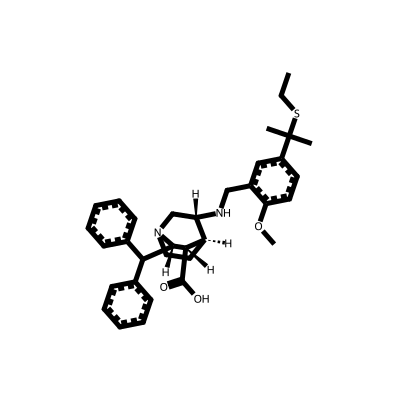 CCSC(C)(C)c1ccc(OC)c(CN[C@H]2CN3CC[C@H]2[C@H](C(=O)O)[C@@H]3C(c2ccccc2)c2ccccc2)c1